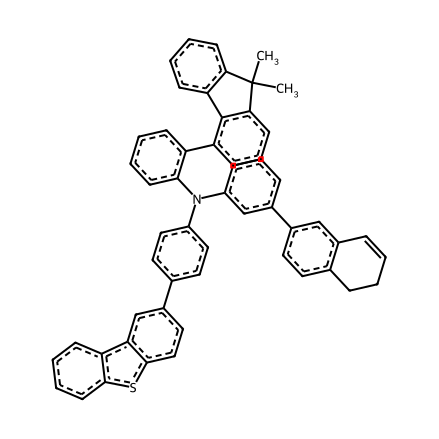 CC1(C)c2ccccc2-c2c(-c3ccccc3N(c3ccc(-c4ccc5sc6ccccc6c5c4)cc3)c3cccc(-c4ccc5c(c4)C=CCC5)c3)cccc21